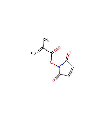 C=C(C)C(=O)ON1C(=O)C=CC1=O